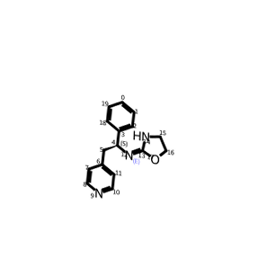 c1ccc([C@H](Cc2ccncc2)/N=C2\NCCO2)cc1